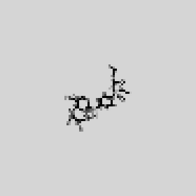 CCOC(=O)N=S(=O)(CC)c1ccc(Nc2ncc(Br)c(O[C@H](C)[C@@H](C)O)n2)cc1